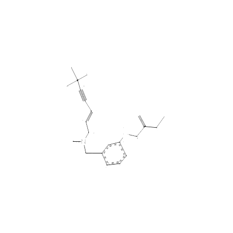 C=C(CC)COc1cccc(CN(C)C/C=C/C#CC(C)(C)C)c1